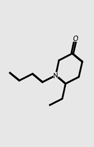 CCCCN1CC(=O)CCC1CC